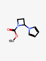 CC(C)(C)OC(=O)N1CCC1n1cccc1